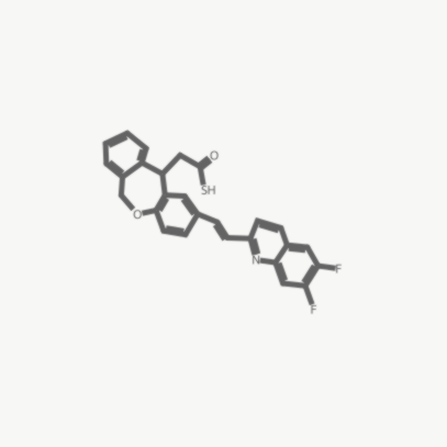 O=C(S)CC1c2ccccc2COc2ccc(C=Cc3ccc4cc(F)c(F)cc4n3)cc21